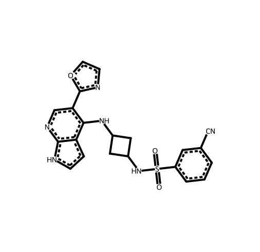 N#Cc1cccc(S(=O)(=O)NC2CC(Nc3c(-c4ncco4)cnc4[nH]ccc34)C2)c1